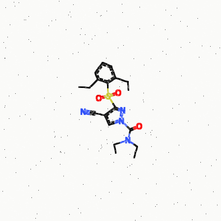 CCc1cccc(CC)c1S(=O)(=O)c1nn(C(=O)N(CC)CC)cc1C#N